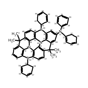 CC1(C)c2cccc3c2N2c4c(ccc5c4N4c6c(cc(N(C7=CC=CCC7)c7ccccc7)cc6C5(C)C)B(C5C=CC=CC5)c5ccc1c2c54)B3C1C=CC=CC1